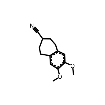 COc1cc2c(cc1OC)CCC(C#N)CC2